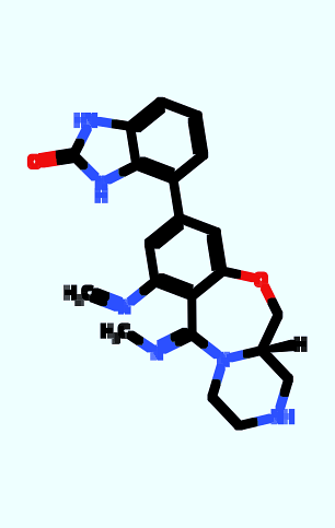 C=Nc1cc(-c2cccc3[nH]c(=O)[nH]c23)cc2c1/C(=N\C)N1CCNC[C@H]1CO2